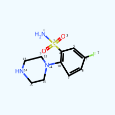 NS(=O)(=O)c1cc(F)ccc1N1CCNCC1